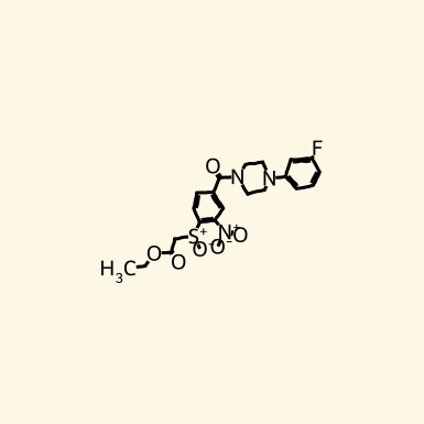 CCOC(=O)C[S+]([O-])c1ccc(C(=O)N2CCN(c3cccc(F)c3)CC2)cc1[N+](=O)[O-]